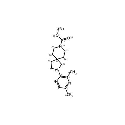 Cc1nc(C(F)(F)F)cnc1N1CCC2(CCN(C(=O)OC(C)(C)C)CC2)C1